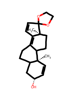 C[C@]12C=C[C@H](O)CC1CCC1=C3C=CC4(OCCO4)[C@@]3(C)CCC12